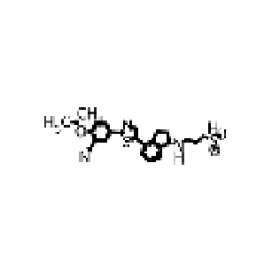 CC(C)Oc1ccc(-c2ncc(-c3cccc4c3CC[C@@H]4NCCC[SH](=O)=O)s2)cc1C#N